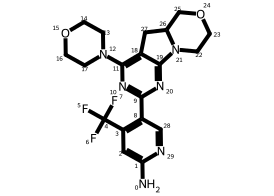 Nc1cc(C(F)(F)F)c(-c2nc(N3CCOCC3)c3c(n2)N2CCOCC2C3)cn1